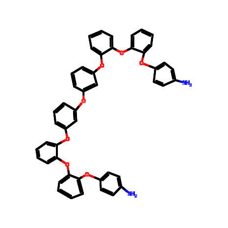 Nc1ccc(Oc2ccccc2Oc2ccccc2Oc2cccc(Oc3cccc(Oc4ccccc4Oc4ccccc4Oc4ccc(N)cc4)c3)c2)cc1